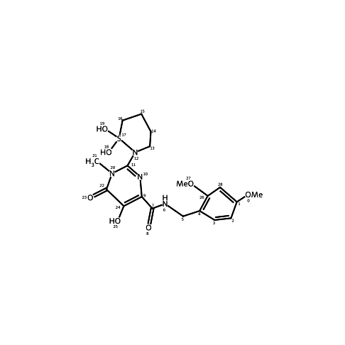 COc1ccc(CNC(=O)c2nc(N3CCCCS3(O)O)n(C)c(=O)c2O)c(OC)c1